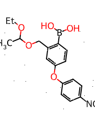 [C-]#[N+]c1ccc(Oc2ccc(B(O)O)c(COC(C)OCC)c2)cc1